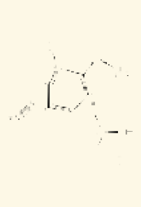 COc1ccccc1Cl.F.N#N.OB(O)O